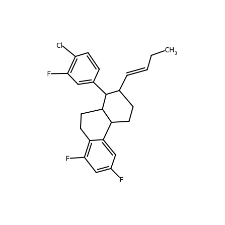 CCC=CC1CCC2c3cc(F)cc(F)c3CCC2C1c1ccc(Cl)c(F)c1